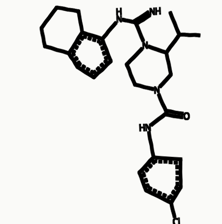 CC(C)C1CN(C(=O)Nc2ccc(Cl)cc2)CCN1C(=N)Nc1cccc2c1CCCC2